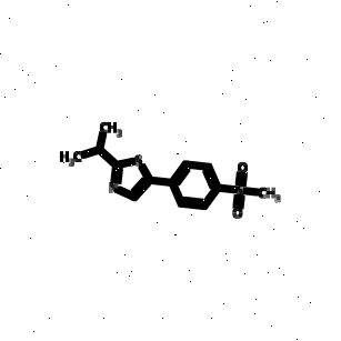 CC(C)c1ncc(-c2ccc(S(C)(=O)=O)cc2)s1